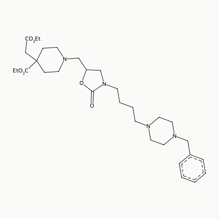 CCOC(=O)CC1(C(=O)OCC)CCN(CC2CN(CCCCN3CCN(Cc4ccccc4)CC3)C(=O)O2)CC1